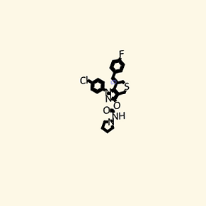 O=C(NN1CCCC1)Oc1nn(-c2ccc(Cl)cc2)c2c1CSC/C2=C\c1ccc(F)cc1